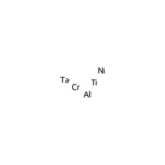 [Al].[Cr].[Ni].[Ta].[Ti]